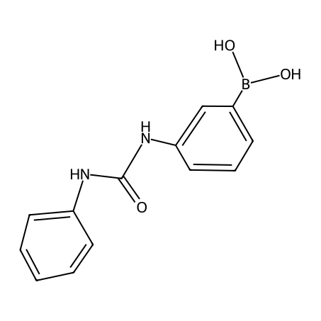 O=C(Nc1ccccc1)Nc1cccc(B(O)O)c1